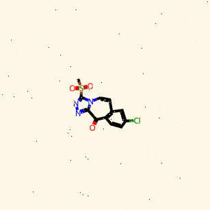 CS(=O)(=O)c1nnc2c(=O)c3ccc(Cl)cc3ccn12